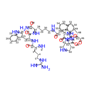 CN[C@@H](CCCNC(=N)N)C(=O)N[C@@H](Cc1c[nH]c2ccccc12)C(=O)N[C@@H](CCCCNC(=O)C[C@@H]1NC(=O)N(C2(C(=O)N[C@@H](C=O)Cc3ccc4ccccc4c3)CCNCC2)C1=O)C(N)=O